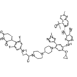 Cc1ccc2c(P(C)(C)=O)c(Nc3nc(Nc4cc(-c5cnn(C)c5)c(N5CCC(N6CCN(C(=O)C7CN(c8cc(F)c(C9CCC(=O)NC9=O)c(F)c8)C7)CC6)CC5)cc4OC4CC4)ncc3Br)ccc2n1